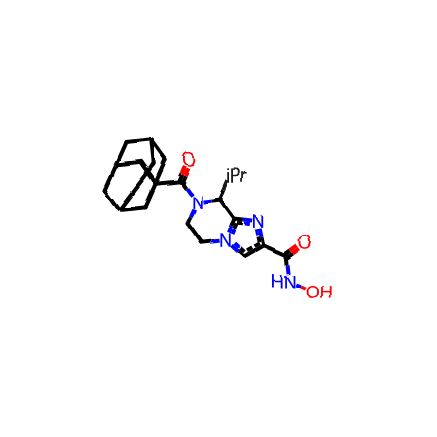 CC(C)C1c2nc(C(=O)NO)cn2CCN1C(=O)C12CC3CC(CC(C3)C1)C2